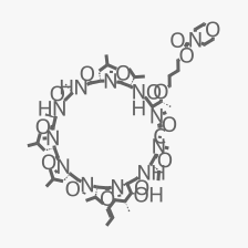 C/C=C/C[C@@H](C)[C@@H](O)[C@@H]1C(=O)N[C@@H](CC)C(=O)N(C)CC(=O)N(C)[C@@H]([C@@H](C)OCCCCOC(=O)N2CCOCC2)C(=O)N[C@@H](C(C)C)C(=O)N(C)[C@@H](CC(C)C)C(=O)N[C@@H](C)C(=O)N[C@H](C)C(=O)N(C)[C@@H](CC(C)C)C(=O)N(C)[C@@H](CC(C)C)C(=O)N(C)[C@@H](C(C)C)C(=O)N1C